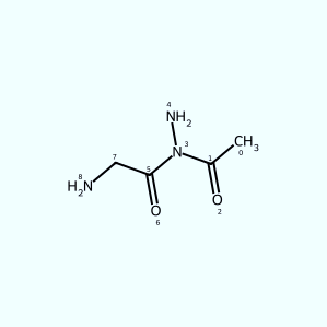 CC(=O)N(N)C(=O)CN